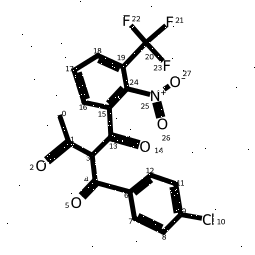 CC(=O)C(C(=O)c1ccc(Cl)cc1)C(=O)c1cccc(C(F)(F)F)c1[N+](=O)[O-]